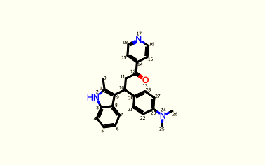 Cc1[nH]c2ccccc2c1C(CC(=O)c1ccncc1)c1ccc(N(C)C)cc1